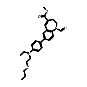 CCCOCCN(CC)c1ccc(-c2ccc3c(c2)C=C(C(=O)OC)CCN3C=O)cc1